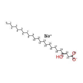 CCCCCCCCCCCCCCCCCCCCC(O)=CCC(=O)[O-].[Na+]